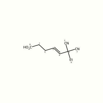 CCC(C#N)(C#N)C=CCCC(=O)O